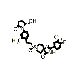 Cc1cc(N2C(=O)CC[C@@H]2CO)ccc1CC[S+]([O-])N1CCC2(CC1)N=C(c1ccc(F)c(C(F)(F)F)c1)NC2=O